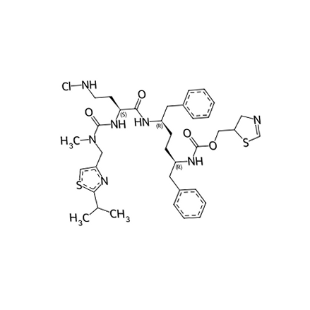 CC(C)c1nc(CN(C)C(=O)N[C@@H](CCNCl)C(=O)N[C@H](CC[C@H](Cc2ccccc2)NC(=O)OCC2CN=CS2)Cc2ccccc2)cs1